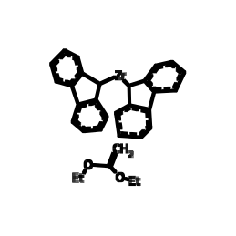 C=C(OCC)OCC.c1ccc2c(c1)-c1ccccc1[CH]2[Zr][CH]1c2ccccc2-c2ccccc21